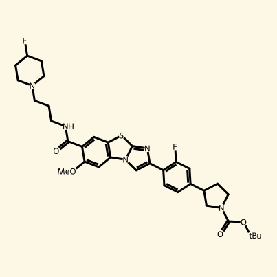 COc1cc2c(cc1C(=O)NCCCN1CCC(F)CC1)sc1nc(-c3ccc(C4CCN(C(=O)OC(C)(C)C)C4)cc3F)cn12